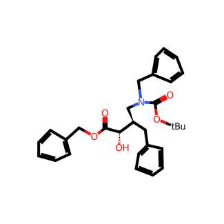 CC(C)(C)OC(=O)N(Cc1ccccc1)C[C@@H](Cc1ccccc1)[C@H](O)C(=O)OCc1ccccc1